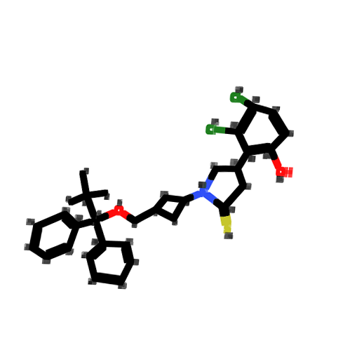 CC(C)(C)[Si](OCC1CC(N2CC(c3c(O)ccc(Cl)c3Cl)CC2=S)C1)(c1ccccc1)c1ccccc1